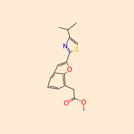 COC(=O)Cc1cccc2cc(-c3nc(C(C)C)cs3)oc12